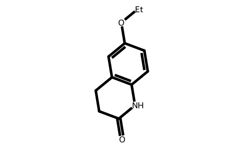 CCOc1ccc2c(c1)CCC(=O)N2